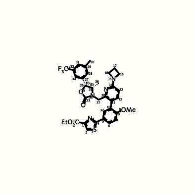 CCOC(=O)c1csc(-c2ccc(OC)c(-c3ccc(N4CCC4)nc3CN3C(=O)O[C@H](c4cc(C)cc(C(F)(F)F)c4)[C@@H]3C)c2)n1